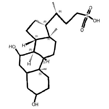 C[C@H](CCS(=O)(=O)O)[C@H]1CC[C@H]2[C@@H]3C(O)CC4CC(O)CC[C@]4(C)[C@H]3CC[C@]12C